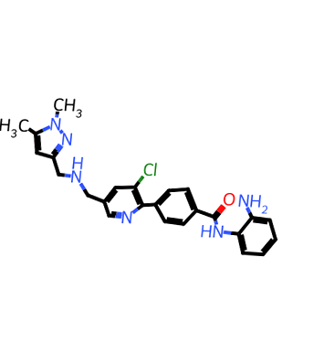 Cc1cc(CNCc2cnc(-c3ccc(C(=O)Nc4ccccc4N)cc3)c(Cl)c2)nn1C